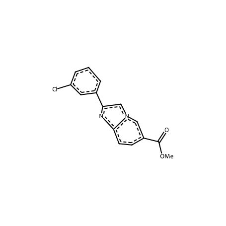 COC(=O)c1ccc2nc(-c3cccc(Cl)c3)cn2c1